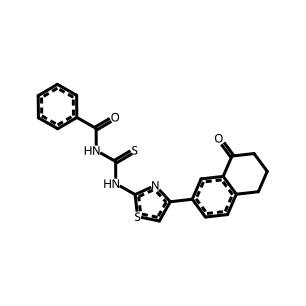 O=C(NC(=S)Nc1nc(-c2ccc3c(c2)C(=O)CCC3)cs1)c1ccccc1